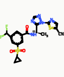 C[C@H](NC(=O)c1cc(C(F)F)cc(S(=O)(=O)C2CC2)c1)c1ncnn1-c1ncc(C#N)s1